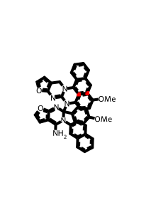 COc1ccc(N(C2=Nc3occc3CN2c2cccc3ccccc23)C2(c3ccc(OC)cc3)N=c3occc3=C(N)N2c2ccc3ccccc3c2)cc1